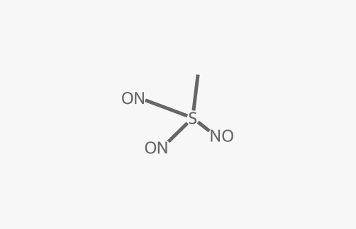 CS(N=O)(N=O)N=O